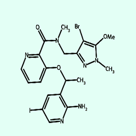 COc1c(Br)c(CN(C)C(=O)c2ncccc2OC(C)c2cc(I)cnc2N)nn1C